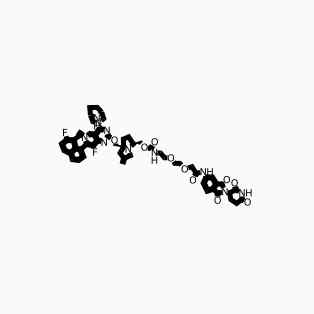 C#Cc1c(F)ccc2cccc(-c3ncc4c(N5CC6CCC(C5)N6)nc(OC[C@@]56CC[C@@H](COC(=O)NCCOCCOCC(=O)Nc7ccc8c(c7)C(=O)N(C7CCC(=O)NC7=O)C8=O)N5CC(=C)C6)nc4c3F)c12